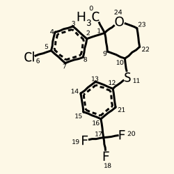 CC1(c2ccc(Cl)cc2)CC(Sc2cccc(C(F)(F)F)c2)CCO1